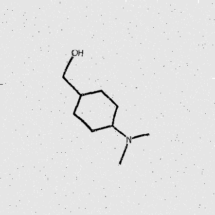 CN(C)C1CCC(CO)CC1